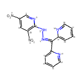 O=[N+]([O-])c1cnc(NN=C(c2ccccn2)c2ccccn2)c([N+](=O)[O-])c1